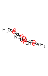 Cc1ccc(C(=O)Oc2ccc3cc(/C=C(\C#N)C(=O)O[C@H]4CO[C@H]5[C@@H]4OC[C@H]5OC(=O)/C(C#N)=C/c4ccc5cc(OC(=O)c6ccc(C)cc6)ccc5c4)ccc3c2)cc1